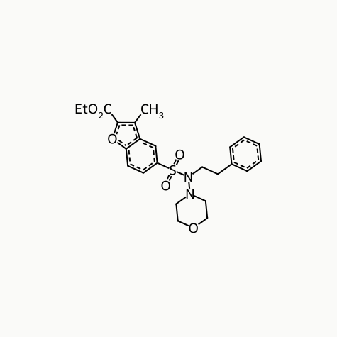 CCOC(=O)c1oc2ccc(S(=O)(=O)N(CCc3ccccc3)N3CCOCC3)cc2c1C